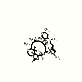 Bn1cc(CCN(C)[C@H]2C[C@@H](C)O[C@@H](O[C@@H]3[C@@H](C)C(=O)[C@@H](C)C(=O)O[C@H](CC)[C@@]4(C)OC(=O)N5CCN=C([C@H](C)C[C@@]3(C)OC)[C@H](C)[C@@H]54)[C@@H]2O)nn1